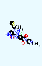 C[C@H](Cc1cccs1)Nc1cc[nH]c(=O)c1-c1nc2c(Cl)c3c(cc2[nH]1)C(=O)N(C1CCN(C)CC1)C3=O